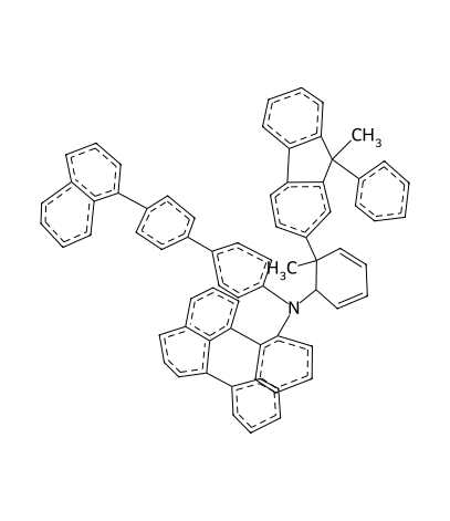 CC1(c2ccccc2)c2ccccc2-c2ccc(C3(C)C=CC=CC3N(c3ccc(-c4ccc(-c5cccc6ccccc56)cc4)cc3)c3ccccc3-c3cccc4cccc(-c5ccccc5)c34)cc21